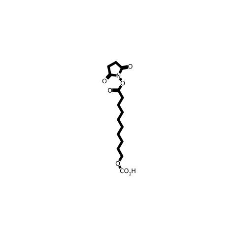 O=C(O)OCCCCCCCCCC(=O)ON1C(=O)CCC1=O